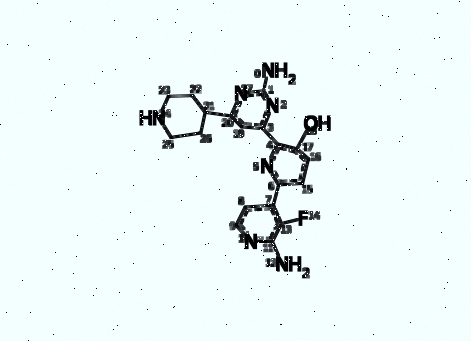 Nc1nc(-c2nc(-c3ccnc(N)c3F)ccc2O)cc(C2CCNCC2)n1